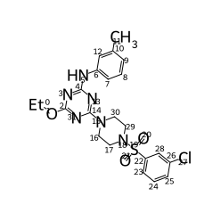 CCOc1nc(Nc2cccc(C)c2)nc(N2CCN(S(=O)(=O)c3cccc(Cl)c3)CC2)n1